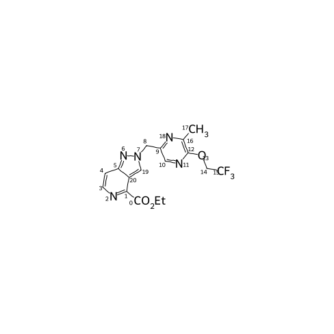 CCOC(=O)c1nccc2nn(Cc3cnc(OCC(F)(F)F)c(C)n3)cc12